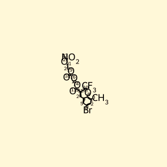 Cc1cc(Br)cc2c1O[C@H](C(F)(F)F)C(C(=O)OCOC(=O)OCCO[N+](=O)[O-])=C2